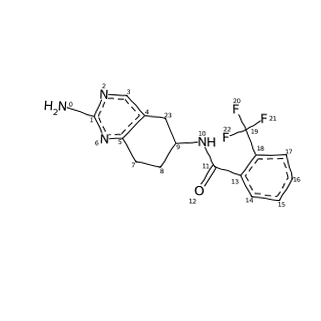 Nc1ncc2c(n1)CCC(NC(=O)c1ccccc1C(F)(F)F)C2